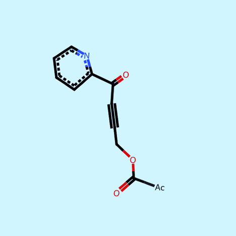 CC(=O)C(=O)OCC#CC(=O)c1ccccn1